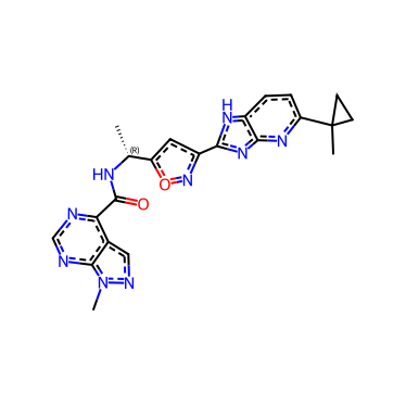 C[C@@H](NC(=O)c1ncnc2c1cnn2C)c1cc(-c2nc3nc(C4(C)CC4)ccc3[nH]2)no1